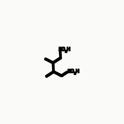 CC(CS(=O)(=O)O)C(C)CS(=O)(=O)O